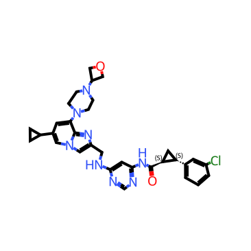 O=C(Nc1cc(NCc2cn3cc(C4CC4)cc(N4CCN(C5COC5)CC4)c3n2)ncn1)[C@H]1C[C@@H]1c1cccc(Cl)c1